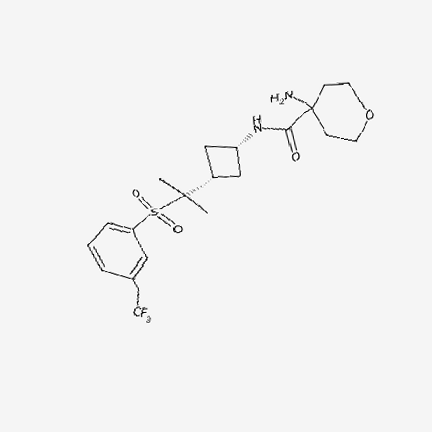 CC(C)([C@H]1C[C@@H](NC(=O)C2(N)CCOCC2)C1)S(=O)(=O)c1cccc(C(F)(F)F)c1